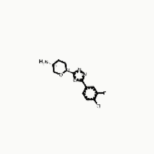 N[C@@H]1CC[C@@H](c2nnc(-c3ccc(Cl)c(F)c3)o2)OC1